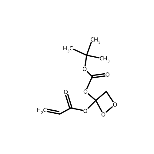 C=CC(=O)OC1(OC(=O)OC(C)(C)C)COO1